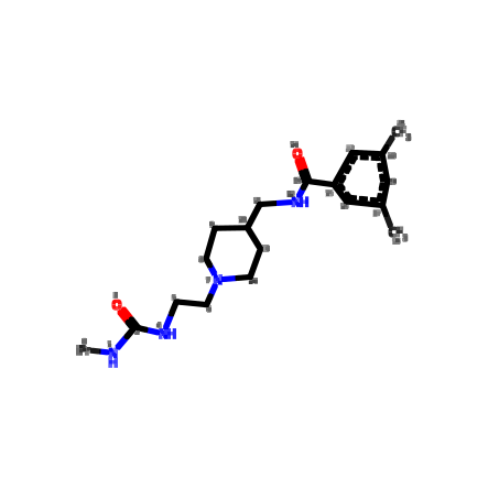 CC(C)NC(=O)NCCN1CCC(CNC(=O)c2cc(C(F)(F)F)cc(C(F)(F)F)c2)CC1